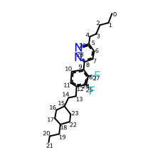 CCCCCc1ccc(-c2ccc(CCC3CCC(CCC)CC3)c(F)c2F)nn1